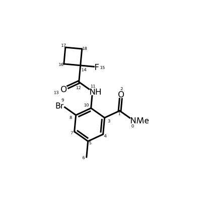 CNC(=O)c1cc(C)cc(Br)c1NC(=O)C1(F)CCC1